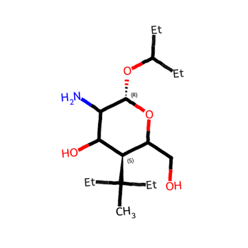 CCC(CC)O[C@@H]1OC(CO)[C@@H](C(C)(CC)CC)C(O)C1N